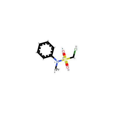 CCCN(c1ccccc1)S(=O)(=O)CCl